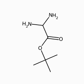 CC(C)(C)OC(=O)C(N)N